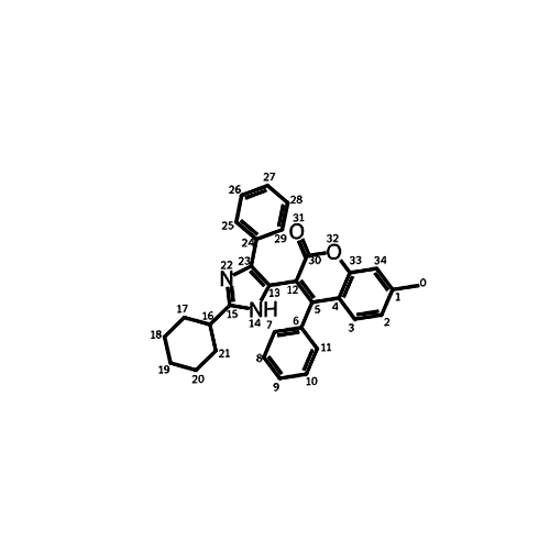 Cc1ccc2c(-c3ccccc3)c(-c3[nH]c(C4CCCCC4)nc3-c3ccccc3)c(=O)oc2c1